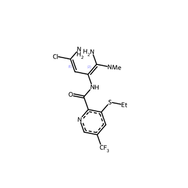 CCSc1cc(C(F)(F)F)cnc1C(=O)NC(/C=C(\N)Cl)=C(/N)NC